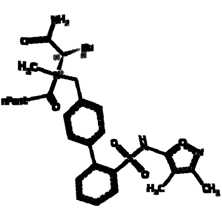 CCCCCC(=O)[N+](C)(Cc1ccc(-c2ccccc2S(=O)(=O)Nc2onc(C)c2C)cc1)[C@H](C(N)=O)[C@@H](C)CC